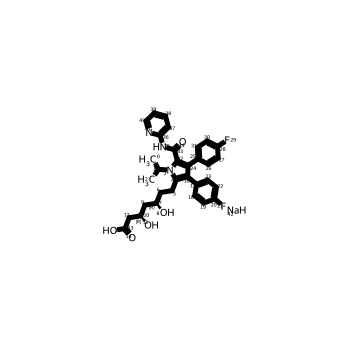 CC(C)n1c(CC[C@@H](O)C[C@@H](O)CC(=O)O)c(-c2ccc(F)cc2)c(-c2ccc(F)cc2)c1C(=O)Nc1ccccn1.[NaH]